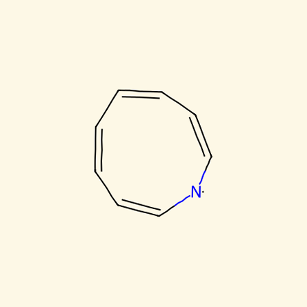 C1=C\C=C/[N]/C=C\C=C/1